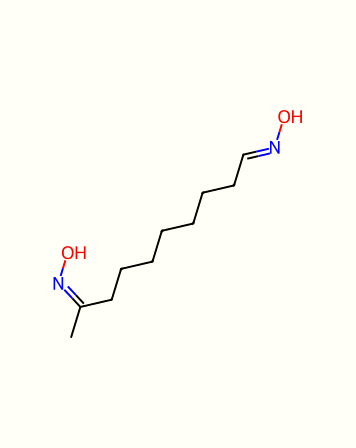 CC(CCCCCCCC=NO)=NO